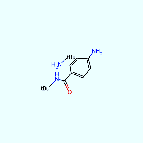 CC(C)(C)N.CC(C)(C)NC(=O)c1ccc(N)cc1